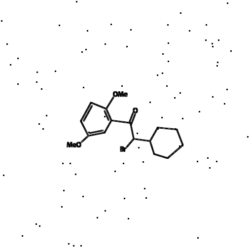 COc1ccc(OC)c(C(=O)C(Br)C2CCCCC2)c1